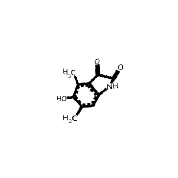 Cc1cc2c(c(C)c1O)C(=O)C(=O)N2